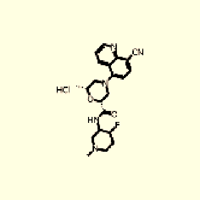 C[C@@H]1CN(c2ccc(C#N)c3ncccc23)C[C@H](C(=O)NC2CN(C)CCC2F)O1.Cl